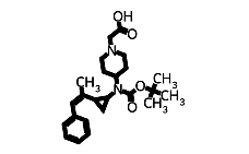 CC(=Cc1ccccc1)C1CC1N(C(=O)OC(C)(C)C)C1CCN(CC(=O)O)CC1